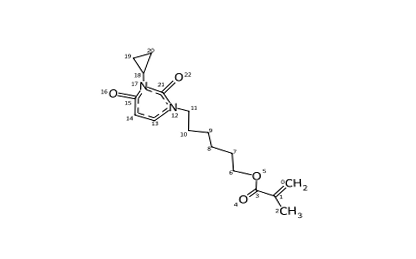 C=C(C)C(=O)OCCCCCCn1ccc(=O)n(C2CC2)c1=O